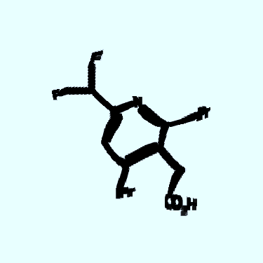 CC(C)c1cc(C(F)F)nc(C(C)C)c1CC(=O)O